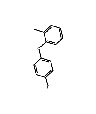 [CH2]c1ccccc1Oc1ccc(F)cc1